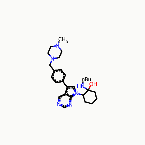 CCCCNC1(O)CCCCC1n1cc(-c2ccc(CN3CCN(C)CC3)cc2)c2cncnc21